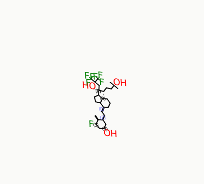 C=C1/C(=C\C=C2/CCC[C@@]3(C)C2CCC3[C@](C)(CCCC(C)(C)O)CC(O)(C(F)(F)F)C(F)(F)F)C[C@@H](O)C[C@@H]1F